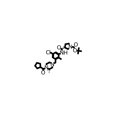 Cc1c(CN2CCN(C(=O)C3CCCC3)[C@@H](C)C2)cc(Cl)cc1NC(=O)[C@@H]1CCN(C(=O)OC(C)(C)C)C1